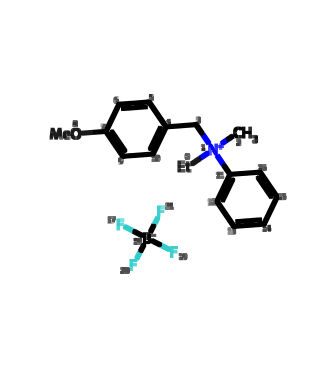 CC[N+](C)(Cc1ccc(OC)cc1)c1ccccc1.F[B-](F)(F)F